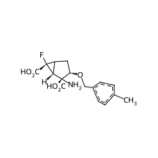 Cc1ccc(CO[C@@H]2CC3[C@H]([C@]2(N)C(=O)O)[C@@]3(F)C(=O)O)cc1